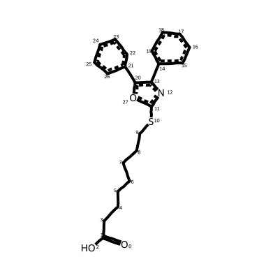 O=C(O)CCCCCCCSc1nc(-c2ccccc2)c(-c2ccccc2)o1